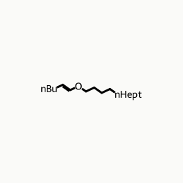 CCCCC=COCCCCCCCCCCC